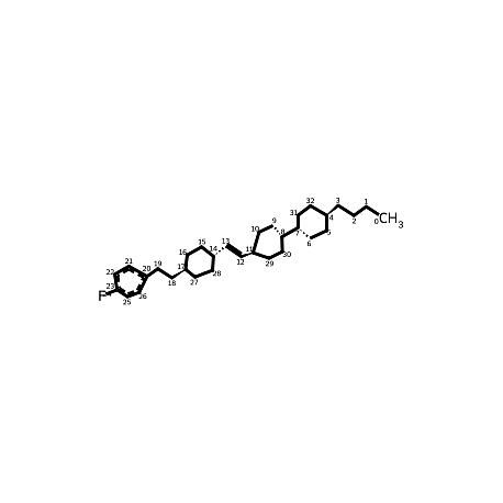 CCCC[C@H]1CC[C@H]([C@H]2CC[C@H](C=C[C@H]3CC[C@H](CCc4ccc(F)cc4)CC3)CC2)CC1